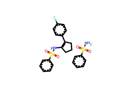 NS(=O)(=O)c1ccccc1.O=S(=O)(NC1=C(c2ccc(F)cc2)CCC1)c1ccccc1